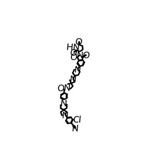 N#Cc1ccc(N2CCC3(CCN(c4ccc(C(=O)N5CCC6(C5)CN(C5CCN(c7ccc8c(c7)C(=O)N(C7CCC(=O)NC7=O)C8=O)CC5)C6)cc4)CC3)C2)cc1Cl